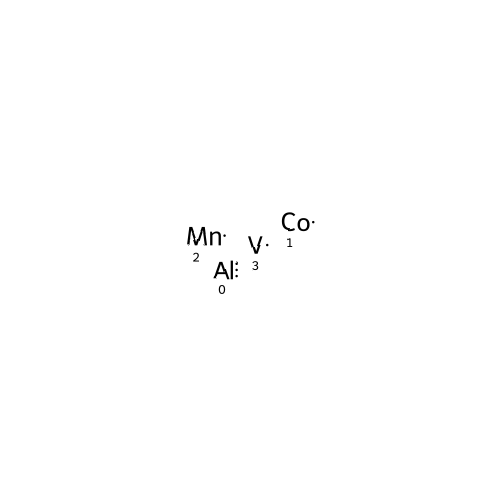 [Al].[Co].[Mn].[V]